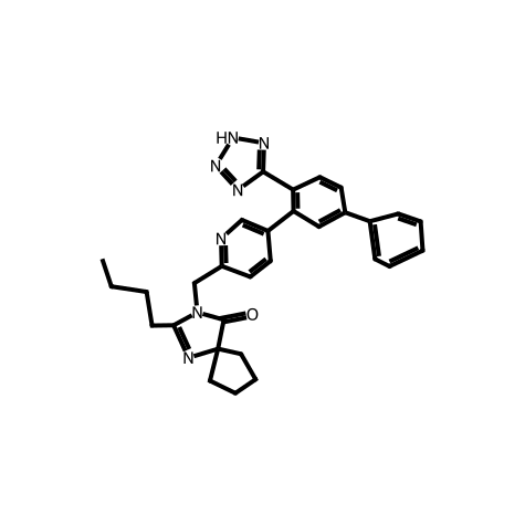 CCCCC1=NC2(CCCC2)C(=O)N1Cc1ccc(-c2cc(-c3ccccc3)ccc2-c2nn[nH]n2)cn1